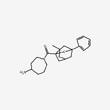 CC12CC3CC(c4ccccc4)(C1)CC2(C(=O)N1CCCC(N)CC1)C3